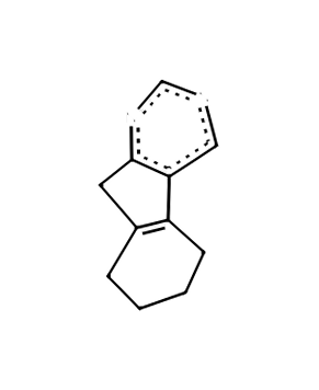 c1ncc2c(n1)CC1=C2CCCC1